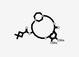 COc1cc2cc(c1OC)OCCCC(OC(=O)C1CC(C)(C)C1)CCN1CCCN(CCCOC2=O)CC1